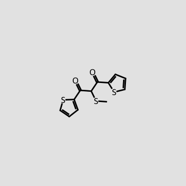 CSC(C(=O)c1cccs1)C(=O)c1cccs1